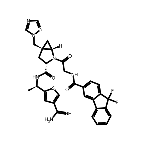 C[C@@H](NC(=O)[C@@H]1C[C@]2(Cn3cncn3)C[C@@H]2N1C(=O)CNC(=O)c1ccc2c(c1)-c1ccccc1C2(F)F)c1cc(C(=N)N)cs1